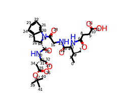 CC[C@H](C)[C@H](NC(=O)CCC(=O)O)C(=O)NCC(=O)N1c2ccccc2C[C@H]1C(=O)N[C@H](C=O)CC(=O)OC(C)(C)C